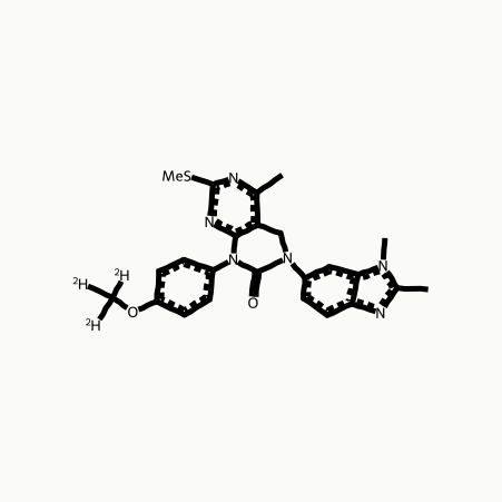 [2H]C([2H])([2H])Oc1ccc(N2C(=O)N(c3ccc4nc(C)n(C)c4c3)Cc3c(C)nc(SC)nc32)cc1